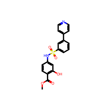 COC(=O)c1ccc(NS(=O)(=O)c2cccc(-c3ccncc3)c2)cc1O